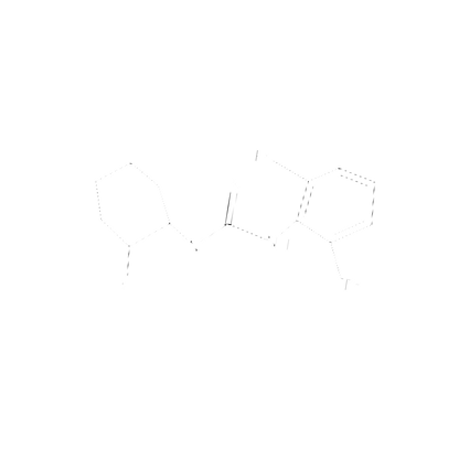 CC(C)c1cccc(C(C)C)c1NC(=S)NC1CCCCC1C